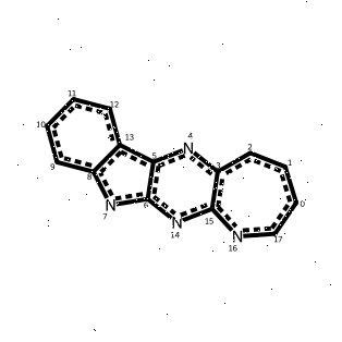 c1ccc2nc3c(nc4ccccc43)nc2nc1